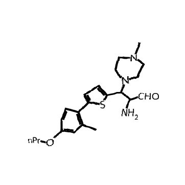 CCCOc1ccc(-c2ccc(C(C(N)C=O)N3CCN(C)CC3)s2)c(C)c1